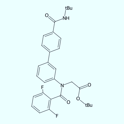 CC(C)(C)NC(=O)c1ccc(-c2cccc(N(CC(=O)OC(C)(C)C)C(=O)c3c(F)cccc3F)c2)cc1